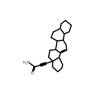 NC(=O)C#CC12CCCCC1C1=CCC3C4CCCCC4CCC3C1CC2